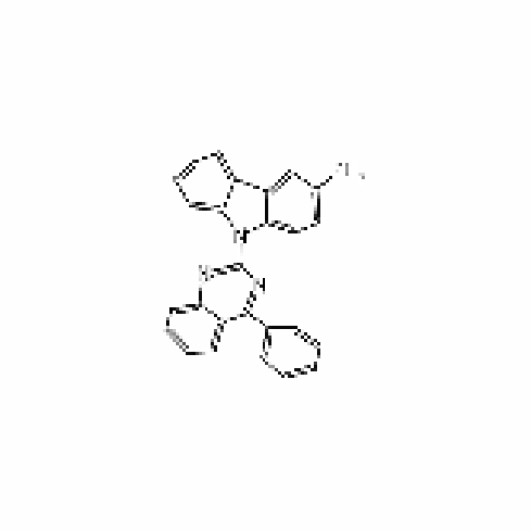 Pc1ccc2c(c1)c1ccccc1n2-c1nc(-c2ccccc2)c2ccccc2n1